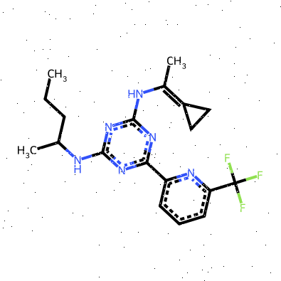 CCCC(C)Nc1nc(NC(C)=C2CC2)nc(-c2cccc(C(F)(F)F)n2)n1